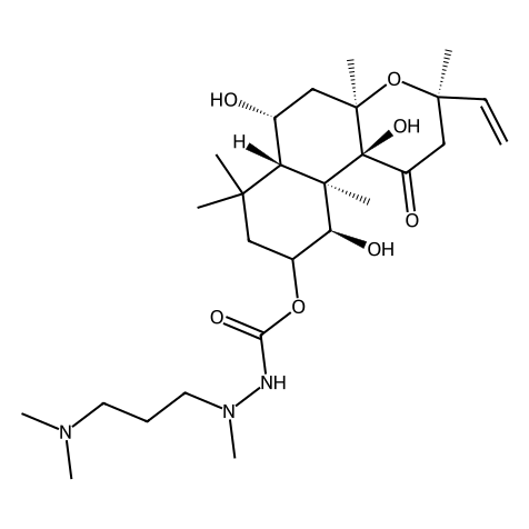 C=C[C@@]1(C)CC(=O)[C@]2(O)[C@@]3(C)[C@@H](O)C(OC(=O)NN(C)CCCN(C)C)CC(C)(C)[C@@H]3[C@H](O)C[C@@]2(C)O1